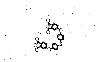 O=C1OC(=O)c2cc(Oc3ccc(Sc4ccc(Oc5ccc6c(c5)C(=O)OC6=O)cc4)cc3)ccc21